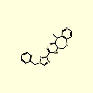 CN1C(=S)C(NC(=O)c2ncn(Cc3ccccc3)n2)COc2ccncc21